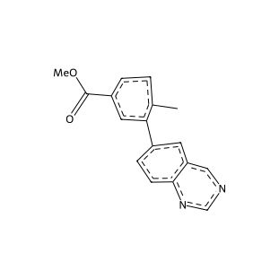 COC(=O)c1ccc(C)c(-c2ccc3ncncc3c2)c1